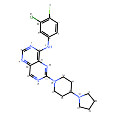 Fc1ccc(Nc2ncnc3cnc(N4CCC(N5CCCC5)CC4)nc23)cc1Cl